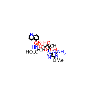 COc1nc(N)nc2c1ncn2C1O[C@H](COP(=O)(NC(C)C(=O)O)Oc2cccc3ncccc23)[C@@H](O)[C@@]1(C)O